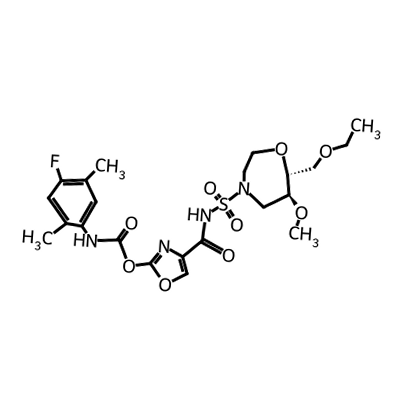 CCOC[C@H]1OCCN(S(=O)(=O)NC(=O)c2coc(OC(=O)Nc3cc(C)c(F)cc3C)n2)C[C@@H]1OC